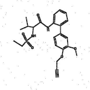 C#CCOc1ccc(-c2ccccc2NC(=O)C(NS(=O)(=O)CC)C(C)C)cc1OC